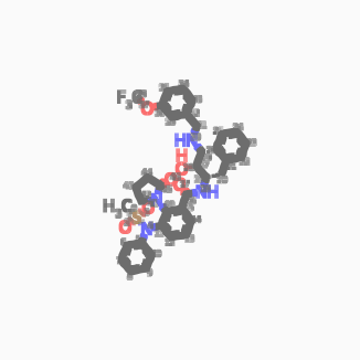 CS(=O)(=O)N(c1ccccc1)c1cccc(C(=O)N[C@@H](Cc2ccccc2)[C@H](O)CNCc2cccc(OC(F)(F)F)c2)c1N1CCCC1=O